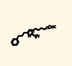 CCCCCCCCCCCCCCn1cc(CCCc2ccccc2)nc1C(C)C